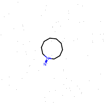 [N-]=[N+]1CCCCCCCCC1